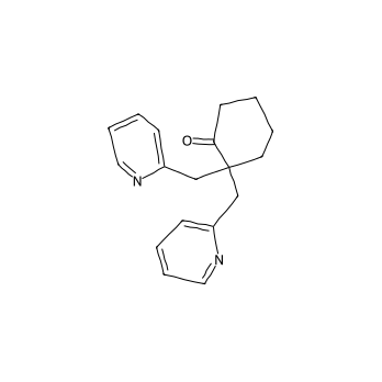 O=C1CCCCC1(Cc1ccccn1)Cc1ccccn1